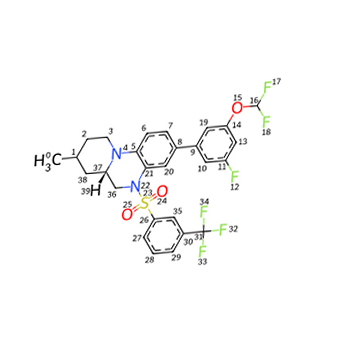 CC1CCN2c3ccc(-c4cc(F)cc(OC(F)F)c4)cc3N(S(=O)(=O)c3cccc(C(F)(F)F)c3)C[C@@H]2C1